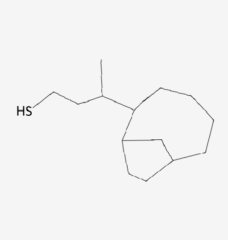 CC(CCS)C1CCCCC2CCC1C2